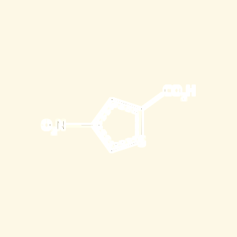 O=C(O)c1cc([N+](=O)[O-])cs1